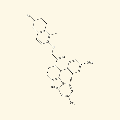 COc1ccc(C2c3c(nc4cc(C(F)(F)F)ccn34)CCN2C(=O)COc2ccc3c(c2C)CCN(C(C)=O)C3)c(F)c1